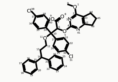 COc1nc(OC(C(=O)O)C(OCCC(c2ccccc2)c2ccccc2)(c2ccc(Cl)cc2)c2ccc(Cl)cc2)nc2c1CCC2